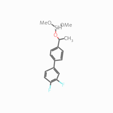 CO[SiH](OC)OC(C)c1ccc(-c2ccc(F)c(F)c2)cc1